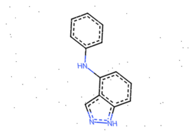 c1ccc(Nc2cccc3[nH]ncc23)cc1